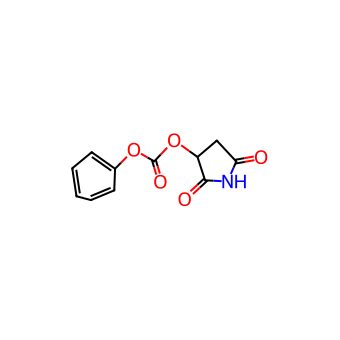 O=C1CC(OC(=O)Oc2ccccc2)C(=O)N1